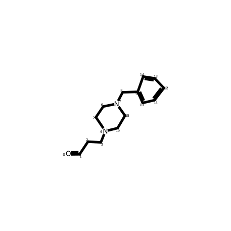 O=CCCN1CCN(Cc2ccccc2)CC1